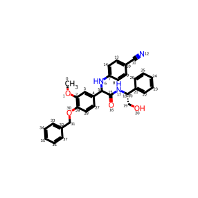 COc1cc(C(Nc2ccc(C#N)cc2)C(=O)N[C@@H](CO)c2ccccc2)ccc1OCc1ccccc1